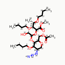 CCCCOC1[C@@H](OC(CO)OC(C(=O)OC)[C@@H](OCCCC)[C@H](C)OCCCC)C(COC(C)=O)OC[C@H]1N=[N+]=[N-]